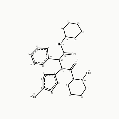 CC(C)(C)c1ccc(N(C(=O)C2CCCCN2C#N)C(C(=O)NC2CCCCC2)c2cccnc2)cc1